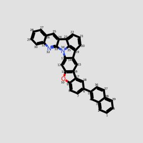 c1ccc2cc(-c3ccc4oc5cc6c(cc5c4c3)c3cccc4c5cc7ccccc7nc5n6c34)ccc2c1